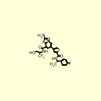 C[C@H](NC(=O)c1cc(-c2cc(C(=O)N[C@H](CO)C(F)(F)F)c3nc(N)nn3c2)cs1)c1ccc(F)cc1